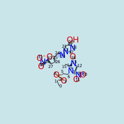 CCS(=O)(=O)CCn1c([N+](=O)[O-])cnc1C.O=C1N=C(O)CN1/N=C/c1ccc([N+](=O)[O-])o1